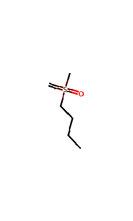 C=S(C)(=O)CCCC